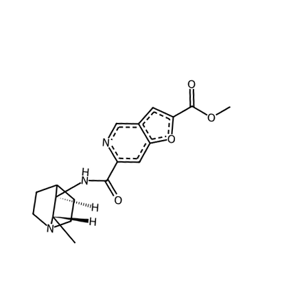 COC(=O)c1cc2cnc(C(=O)N[C@@H]3C4CCN(CC4)[C@H]3C)cc2o1